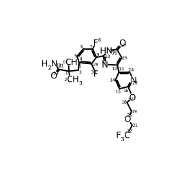 CC(C)(Cc1ccc(F)c(-c2nc(-c3ccc(OCCOCC(F)(F)F)nc3)cc(=O)[nH]2)c1F)C(N)=O